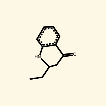 CCC1CC(=O)c2ccccc2N1